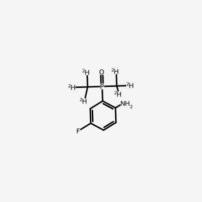 [2H]C([2H])([2H])P(=O)(c1cc(F)ccc1N)C([2H])([2H])[2H]